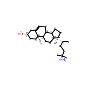 CC(CCC(C)(C)N)[C@H]1CCC2C3CC=C4C[C@@H](O)CC[C@@H]4C3CC[C@@]21C